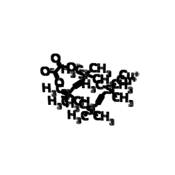 C[Si](C)(C)C#C[Si](C)(C)C.C[Si](C)(C)C#C[Si](C)(C)C.O=C([O-])C(=O)[O-].[Cu+].[Cu+]